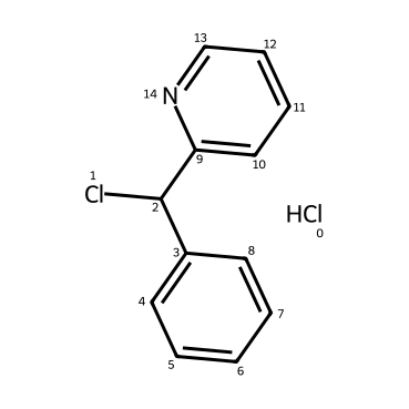 Cl.ClC(c1ccccc1)c1ccccn1